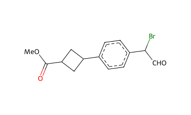 COC(=O)C1CC(c2ccc(C(Br)C=O)cc2)C1